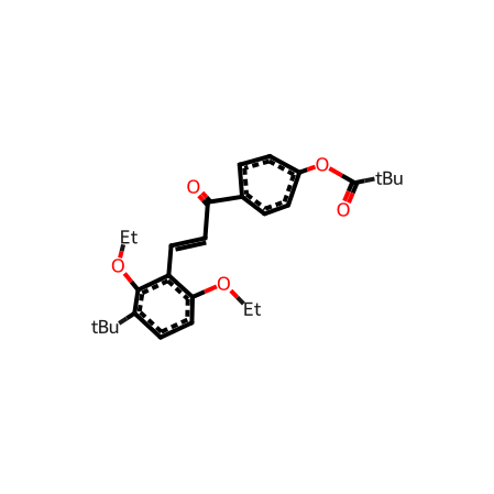 CCOc1ccc(C(C)(C)C)c(OCC)c1C=CC(=O)c1ccc(OC(=O)C(C)(C)C)cc1